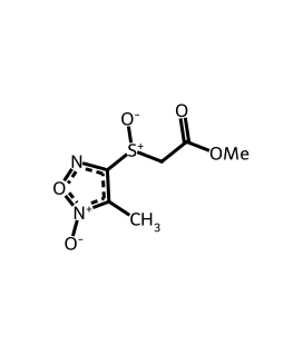 COC(=O)C[S+]([O-])c1no[n+]([O-])c1C